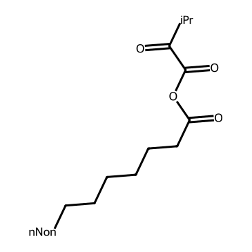 CCCCCCCCCCCCCCCC(=O)OC(=O)C(=O)C(C)C